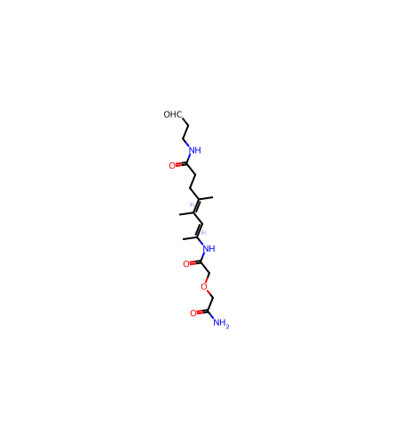 C/C(=C\C(C)=C(/C)CCC(=O)NCCC=O)NC(=O)COCC(N)=O